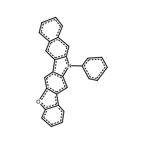 c1ccc(-n2c3cc4ccccc4cc3c3cc4oc5ccccc5c4cc32)cc1